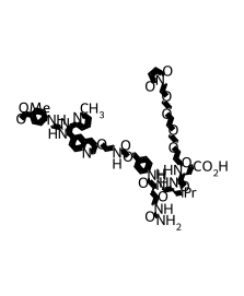 COC(=O)c1ccc(NCc2nc(-c3cccc(C)n3)c(-c3ccc4ncc(OCCNC(=O)OCc5ccc(NC(=O)[C@H](CCCNC(N)=O)NC(=O)[C@H](CC(C)C)NC(=O)[C@H](CCC(=O)O)NC(=O)CCOCCOCCOCCOCCN6C(=O)C=CC6=O)cc5)cc4c3)[nH]2)cc1